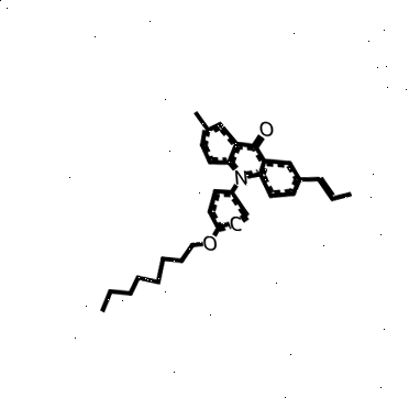 CC=Cc1ccc2c(c1)c(=O)c1cc(C)ccc1n2-c1ccc(OCCCCCCCC)cc1